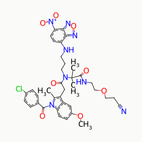 COc1ccc2c(c1)c(CC(=O)N(CCCNc1ccc([N+](=O)[O-])c3nonc13)C(C)(C)C(=O)NCCOCCC#N)c(C)n2C(=O)c1ccc(Cl)cc1